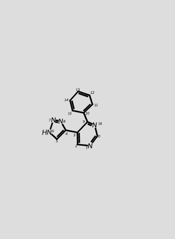 [c]1ncc(-c2c[nH]nn2)c(-c2ccccc2)n1